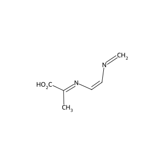 C=N/C=C\N=C(/C)C(=O)O